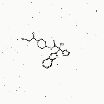 CC(C)(C)OC(=O)N1CCC(OC(=O)C(O)(c2cccs2)c2cc3ccccc3s2)CC1